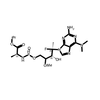 COC(CO[PH](=O)N[C@@H](C)C(=O)OC(C)C)[C@@H](O)[C@@](C)(F)n1cnc2c(N(C)C)nc(N)nc21